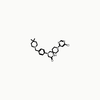 CC1(C)CCN(Cc2ccc(N3CC(=O)NC4(CCN(c5cc(Cl)ncn5)CC4)C3)cc2)CC1